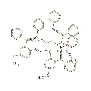 CCCC(Oc1ccc(OC)cc1C(=C=Nc1ccccc1)c1ccccc1)C(COc1ccc(OC)cc1C(=C=Nc1ccccc1)c1ccccc1)Oc1ccc(OC)cc1C(=C=Nc1ccccc1)c1ccccc1